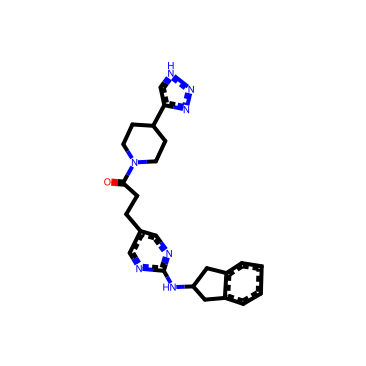 O=C(CCc1cnc(NC2Cc3ccccc3C2)nc1)N1CCC(c2c[nH]nn2)CC1